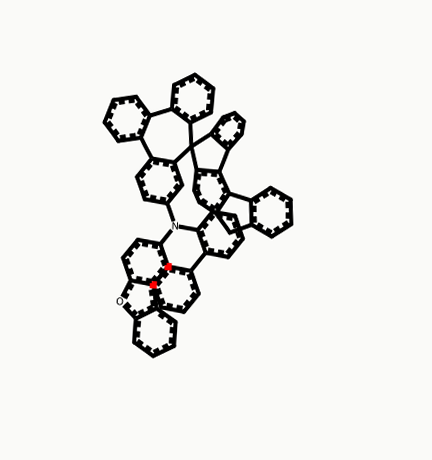 c1ccc(-c2ccccc2N(c2ccc3c(c2)C2(c4ccccc4-c4ccccc4-3)c3ccccc3-c3c2ccc2c3-c3ccccc3C2)c2ccc3oc4ccccc4c3c2)cc1